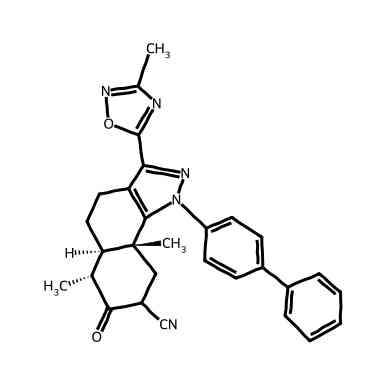 Cc1noc(-c2nn(-c3ccc(-c4ccccc4)cc3)c3c2CC[C@@H]2[C@@H](C)C(=O)C(C#N)C[C@@]32C)n1